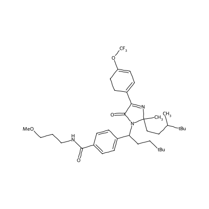 COCCCNC(=O)c1ccc(C(CCC(C)(C)C)N2C(=O)C(C3=CC=C(OC(F)(F)F)CC3)=NC2(C)CCC(C)C(C)(C)C)cc1